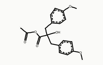 COc1ccc(CC(O)(Cc2ccc(OC)cc2)C(=O)OC(C)=O)cc1